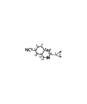 N#Cc1ccc2nc(C3CC3)ncc2c1